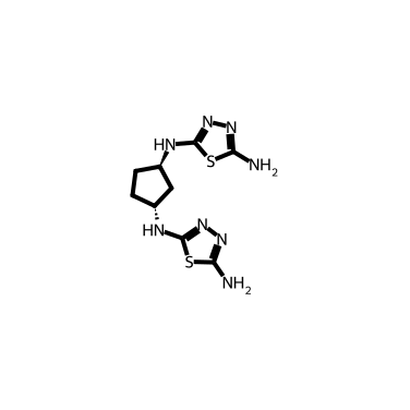 Nc1nnc(N[C@@H]2CC[C@@H](Nc3nnc(N)s3)C2)s1